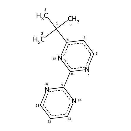 CC(C)(C)c1ccnc(-c2ncccn2)n1